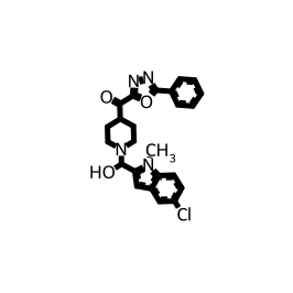 Cn1c(C(O)N2CCC(C(=O)c3nnc(-c4ccccc4)o3)CC2)cc2cc(Cl)ccc21